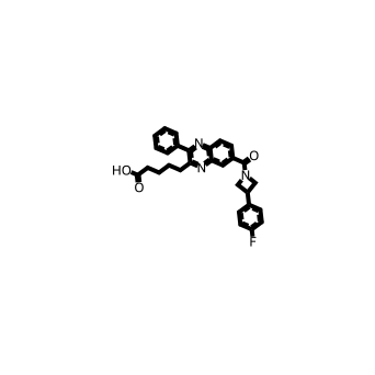 O=C(O)CCCCc1nc2cc(C(=O)N3CC(c4ccc(F)cc4)C3)ccc2nc1-c1ccccc1